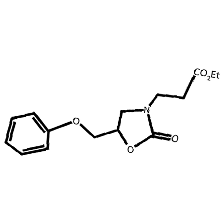 CCOC(=O)CCN1CC(COc2ccccc2)OC1=O